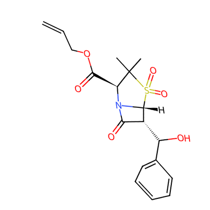 C=CCOC(=O)[C@@H]1N2C(=O)[C@@H](C(O)c3ccccc3)[C@H]2S(=O)(=O)C1(C)C